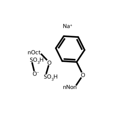 CCCCCCCCCOc1ccccc1.CCCCCCCCOS(=O)(=O)O.O=S(=O)([O-])O.[Na+]